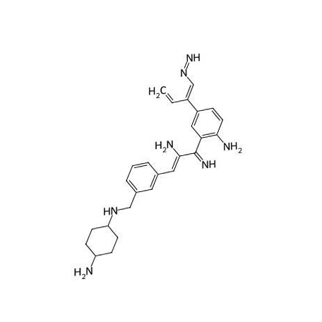 C=C/C(=C\N=N)c1ccc(N)c(C(=N)/C(N)=C/c2cccc(CNC3CCC(N)CC3)c2)c1